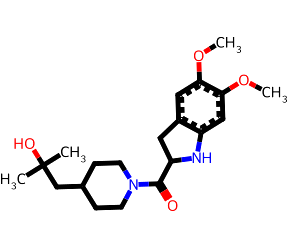 COc1cc2c(cc1OC)NC(C(=O)N1CCC(CC(C)(C)O)CC1)C2